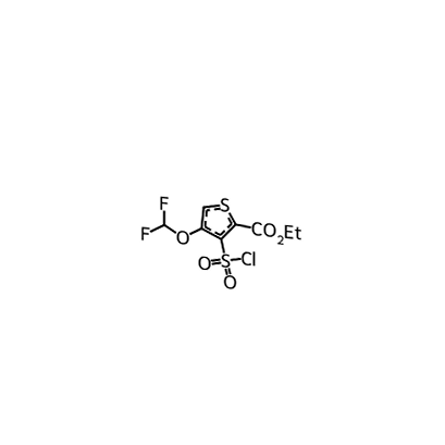 CCOC(=O)c1scc(OC(F)F)c1S(=O)(=O)Cl